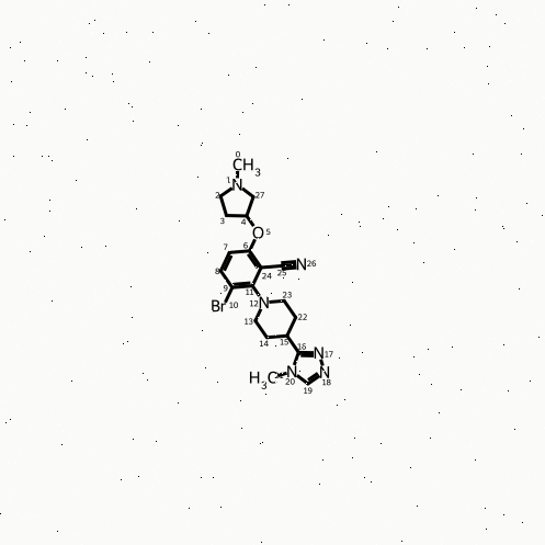 CN1CCC(Oc2ccc(Br)c(N3CCC(c4nncn4C)CC3)c2C#N)C1